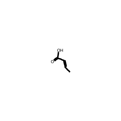 CC=CC(=O)O